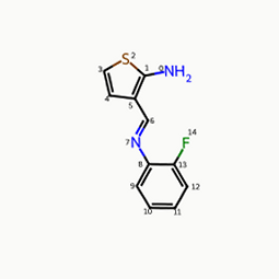 Nc1sccc1C=Nc1ccccc1F